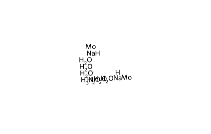 N.O.O.O.O.O.O.[Mo].[Mo].[NaH].[NaH]